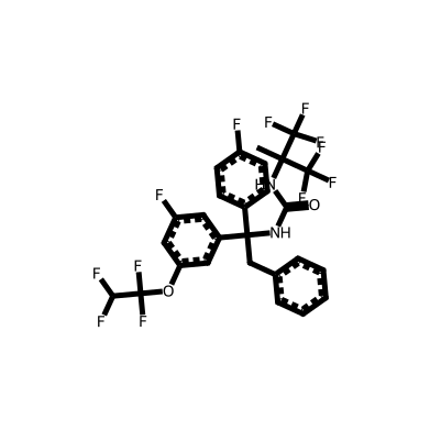 CC(NC(=O)NC(Cc1ccccc1)(c1ccc(F)cc1)c1cc(F)cc(OC(F)(F)C(F)F)c1)(C(F)(F)F)C(F)(F)F